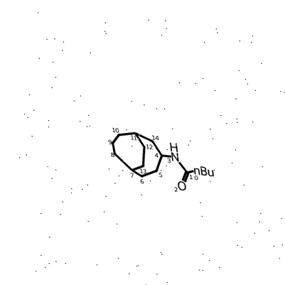 CCCCC(=O)NC1CCC2CCCC(CC2)C1